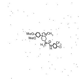 COc1ccc(C23CCC(N(C)C(=O)Nc4ccc(Cl)c(C(F)(F)F)c4)CC2N(C)CC3)cc1OC